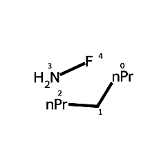 CCCCCCC.NF